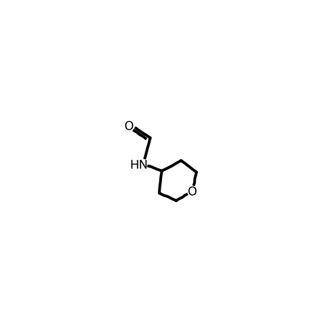 O=CNC1CCOCC1